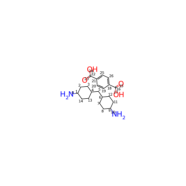 NC1CCC(CC2CCC(N)CC2)CC1.O=C(O)c1ccc(C(=O)O)cc1